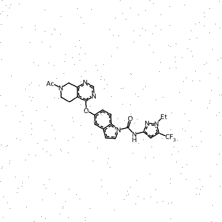 CCn1nc(NC(=O)n2ccc3cc(Oc4ncnc5c4CCN(C(C)=O)C5)ccc32)cc1C(F)(F)F